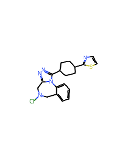 ClN1Cc2ccccc2-n2c(nnc2C2CCC(c3nccs3)CC2)C1